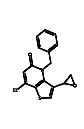 CCc1cc(=O)n(Cc2ccccc2)c2c(C3CO3)csc12